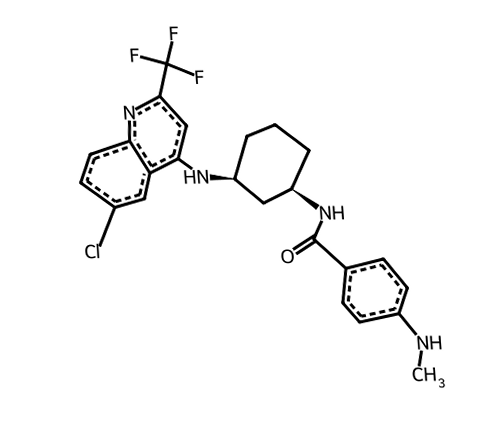 CNc1ccc(C(=O)N[C@@H]2CCC[C@H](Nc3cc(C(F)(F)F)nc4ccc(Cl)cc34)C2)cc1